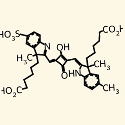 Cc1ccc2c(c1)C(C)(CCCCCC(=O)O)C(=CC1=C(O)C(=CC3=Nc4ccc(S(=O)(=O)O)cc4C3(C)CCCCCC(=O)O)C1=O)N2